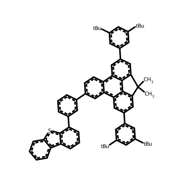 CC(C)(C)c1cc(-c2cc3c4c(c2)c2ccc(-c5cccc(-c6cccc7c6sc6ccccc67)c5)cc2c2cc(-c5cc(C(C)(C)C)cc(C(C)(C)C)c5)cc(c24)C3(C)C)cc(C(C)(C)C)c1